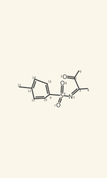 CC(=O)/C(C)=N\S(=O)(=O)c1ccc(C)cc1